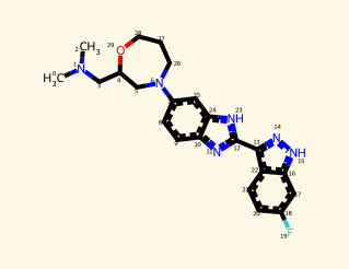 CN(C)CC1CN(c2ccc3nc(-c4n[nH]c5cc(F)ccc45)[nH]c3c2)CCCO1